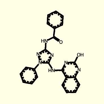 O=C(Nc1nc(Nc2nc(O)nc3ccccc23)n(-c2ccccc2)n1)c1ccccc1